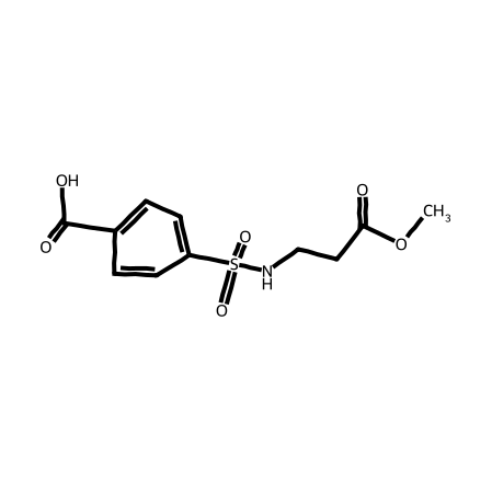 COC(=O)CCNS(=O)(=O)c1ccc(C(=O)O)cc1